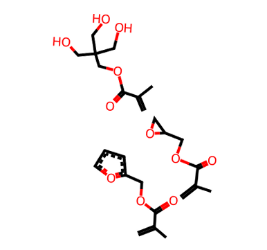 C=C(C)C(=O)OCC(CO)(CO)CO.C=C(C)C(=O)OCC1CO1.C=C(C)C(=O)OCc1ccco1